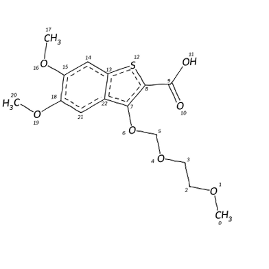 COCCOCOc1c(C(=O)O)sc2cc(OC)c(OC)cc12